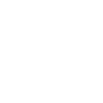 CCCCn1c2ccc(-c3ccccc3)cc2c2cc(-c3ccccc3)ccc21